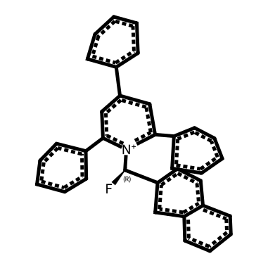 F[C@H](c1ccc2ccccc2c1)[n+]1c(-c2ccccc2)cc(-c2ccccc2)cc1-c1ccccc1